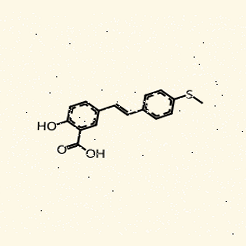 CSc1ccc(C=Cc2ccc(O)c(C(=O)O)c2)cc1